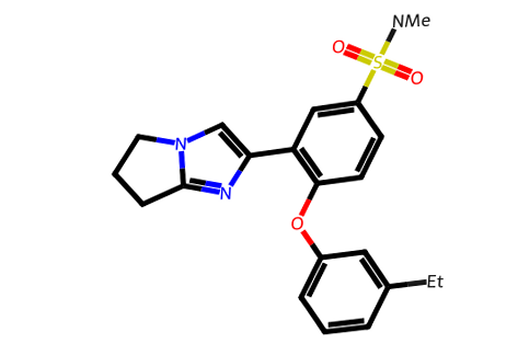 CCc1cccc(Oc2ccc(S(=O)(=O)NC)cc2-c2cn3c(n2)CCC3)c1